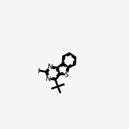 CC(C)(C)c1nc(I)nc2c1sc1ccccc12